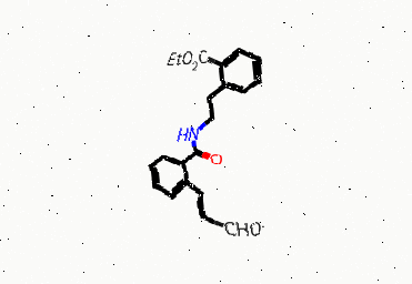 CCOC(=O)c1ccccc1CCNC(=O)c1ccccc1/C=C/[C]=O